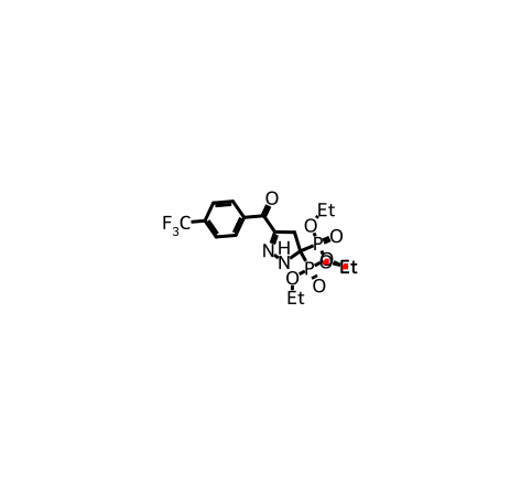 CCOP(=O)(OCC)C1(P(=O)(OCC)OCC)CC(C(=O)c2ccc(C(F)(F)F)cc2)=NN1